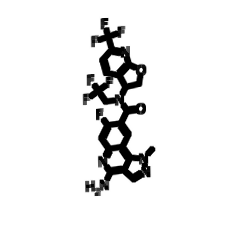 Cn1ncc2c(N)nc3cc(F)c(C(=O)N(CC(F)(F)F)C4COc5nc(C(F)(F)F)ccc54)cc3c21